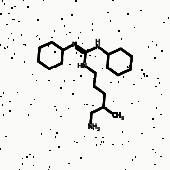 CC(CN)CCCN/C(=N\C1CCCCC1)NC1CCCCC1